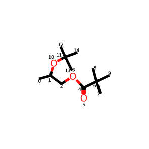 CC(COC(=O)C(C)(C)C)OC(C)(C)C